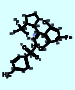 Cc1ccc(S(=O)(=O)N/N=C(\c2c(Cl)cc(F)cc2Cl)N2CCCC2C(F)(F)F)cc1